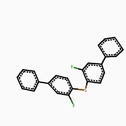 Fc1cc(-c2ccccc2)ccc1Sc1ccc(-c2ccccc2)cc1F